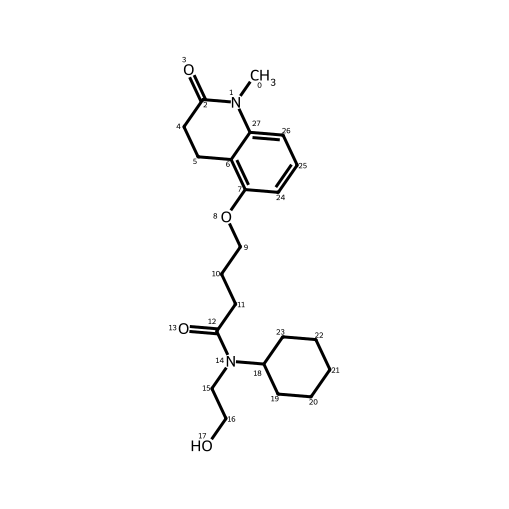 CN1C(=O)CCc2c(OCCCC(=O)N(CCO)C3CCCCC3)cccc21